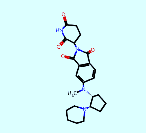 CN(c1ccc2c(c1)C(=O)N(C1CCC(=O)NC1=O)C2=O)[C@@H]1CCC[C@H]1N1CCCCC1